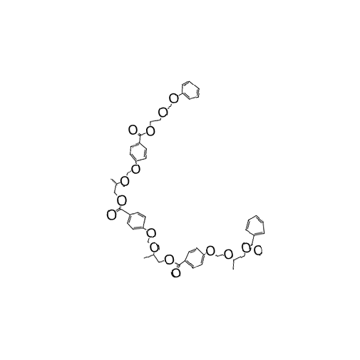 CC(COC(=O)c1ccccc1)OCOc1ccc(C(=O)OCC(C)OCOc2ccc(C(=O)OCC(C)OCOc3ccc(C(=O)OCCOCOc4ccccc4)cc3)cc2)cc1